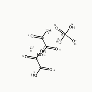 O=C(O)C(=O)O.O=C(O)C(=O)O.O=P([O-])(O)O.[Li+]